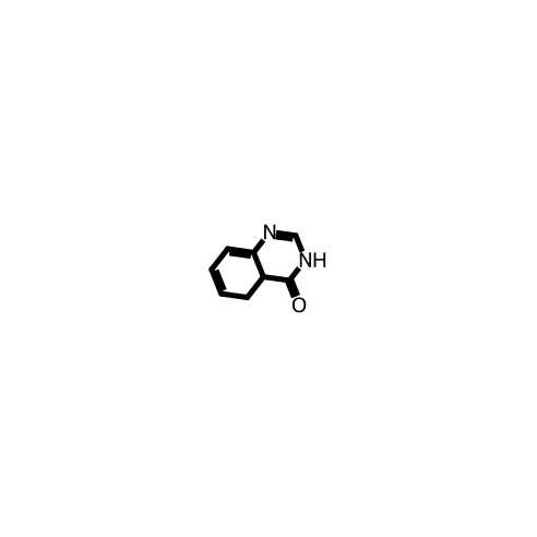 O=C1NC=NC2=CC=CCC12